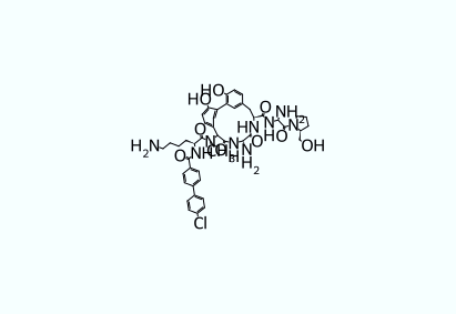 CN(C(=O)[C@H](CCCCN)NC(=O)c1ccc(-c2ccc(Cl)cc2)cc1)[C@@H]1C(=O)N[C@@H](N)C(=O)N[C@H](C(=O)N[C@@H](N)C(=O)N2CCC[C@H]2CO)Cc2ccc(O)c(c2)-c2cc1ccc2O